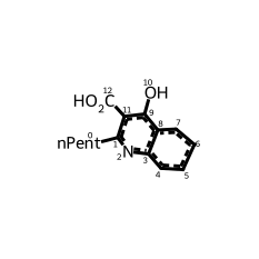 CCCCCc1nc2ccccc2c(O)c1C(=O)O